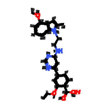 CCOc1cc(-c2cc(NCCn3c(C)cc4c(OC)cccc43)ncn2)ccc1C(=O)O